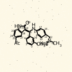 COc1cccc(/C(Nc2ccc(CN(C)C)cc2)=C2/C(=O)Nc3ccc(C(C)=O)cc32)c1